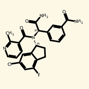 Cc1ncccc1C(=O)N([C@@H]1CCc2c(F)cc(Cl)cc21)[C@@H](C(N)=O)c1cccc(C(N)=O)c1